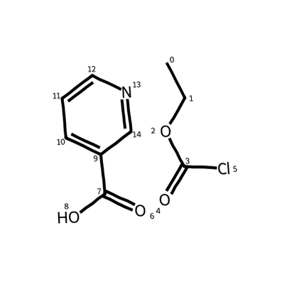 CCOC(=O)Cl.O=C(O)c1cccnc1